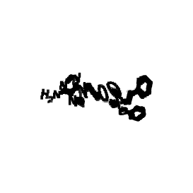 Nc1ncnc2c1ncn2CCOCP(=O)(CCc1ccccc1)Oc1ccccc1